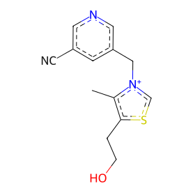 Cc1c(CCO)sc[n+]1Cc1cncc(C#N)c1